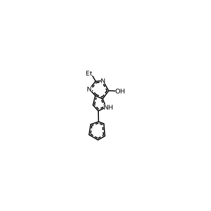 CCc1nc(O)c2[nH]c(-c3ccccc3)cc2n1